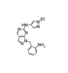 CCn1cc(Nc2ncc3cnn(Cc4ccccc4N)c3n2)cn1